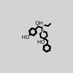 CCC[C@@H]([C@@H](O)c1ccc(O)cc1)N1CCC(O)(Cc2ccccc2)CC1